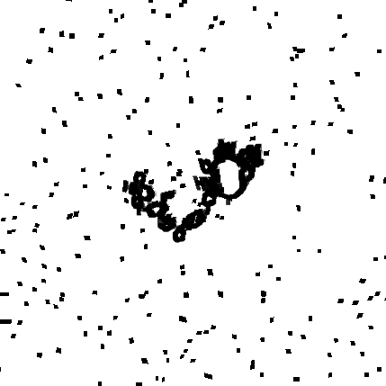 Cc1cc2c(F)c(n1)-c1cnn(C)c1OCCC[C@@H](C)CN1/C(=N/C2=O)Nc2ccc(CN3CCN(C(=O)[C@@H]4CCN(c5cc(F)c([C@H]6CCC(=O)NC6=O)c(F)c5)C4)CC3)cc21